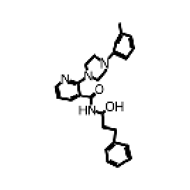 Cc1cccc(N2CCN(c3ncccc3C(=O)NC(O)CCc3ccccc3)CC2)c1